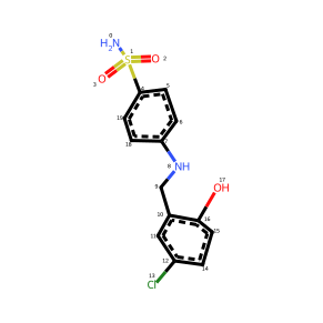 NS(=O)(=O)c1ccc(NCc2cc(Cl)ccc2O)cc1